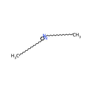 CCCCCCCCCCCCCCCCCCc1ccc2c(c1)=NC(CCCCCCCCCCCCCCCCCC)N=2